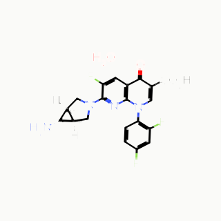 N[C@@H]1[C@H]2CN(c3nc4c(cc3F)c(=O)c(C(=O)O)cn4-c3ccc(F)cc3F)C[C@@H]12.O